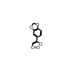 O=CC=C(Cl)c1ccc2c(c1)OCO2